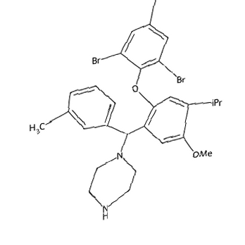 COc1cc(C(c2cccc(C)c2)N2CCNCC2)c(Oc2c(Br)cc(CC(=O)O)cc2Br)cc1C(C)C